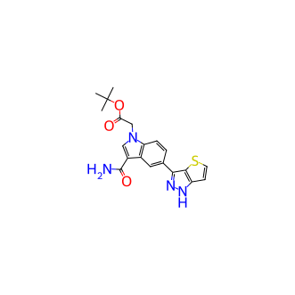 CC(C)(C)OC(=O)Cn1cc(C(N)=O)c2cc(-c3n[nH]c4ccsc34)ccc21